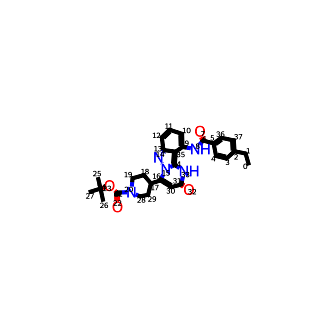 CCc1ccc(C(=O)Nc2cccc3nn4c(C5CCN(C(=O)OC(C)(C)C)CC5)cc(=O)[nH]c4c23)cc1